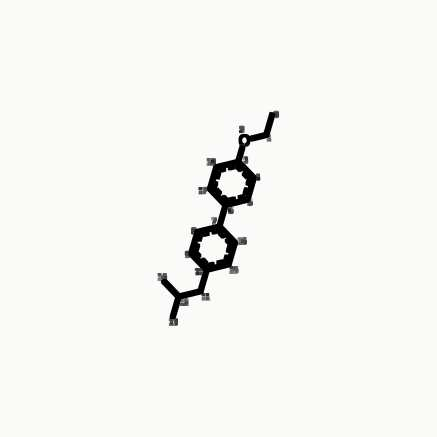 CCOc1ccc(-c2ccc(CC(C)C)cc2)cc1